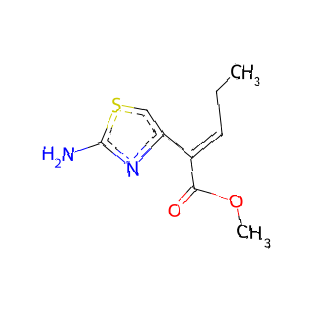 CC/C=C(/C(=O)OC)c1csc(N)n1